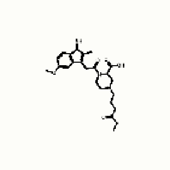 CCC(=O)CCCN1CCN(C(=O)CC2=C(C)C(=N)c3ccc(OC)cc32)C(C(=O)O)C1